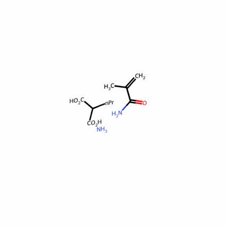 C=C(C)C(N)=O.CCCC(C(=O)O)C(=O)O.N